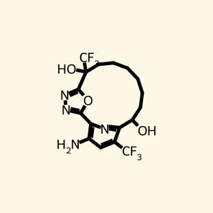 Nc1cc(C(F)(F)F)c2nc1-c1nnc(o1)C(O)(C(F)(F)F)CCCCCCC2O